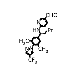 Cc1cc([C@H](CC(C)C)Nc2ccc(C=O)cn2)cc(C)c1-n1cc(C(F)(F)F)cn1